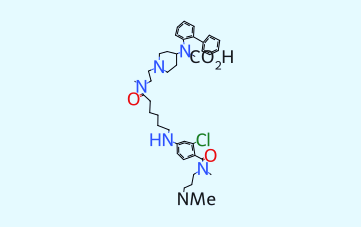 CNCCCN(C)C(=O)c1ccc(NCCCCCC(=O)N(C)CCN2CCC(N(C(=O)O)c3ccccc3-c3ccccc3)CC2)cc1Cl